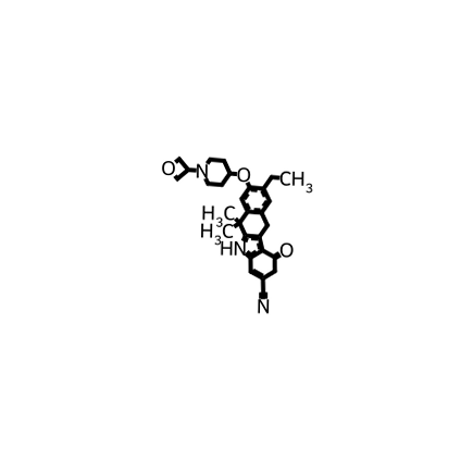 CCc1cc2c(cc1OC1CCN(C3COC3)CC1)C(C)(C)c1[nH]c3c(c1C2)C(=O)CC(C#N)=C3